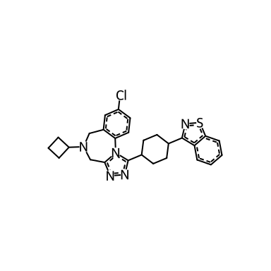 Clc1ccc2c(c1)CN(C1CCC1)Cc1nnc(C3CCC(c4nsc5ccccc45)CC3)n1-2